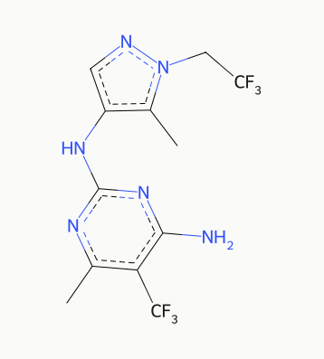 Cc1nc(Nc2cnn(CC(F)(F)F)c2C)nc(N)c1C(F)(F)F